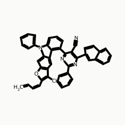 C=C/C=C\c1oc2cc3c(cc2c1C)c1c(-c2nc(-c4ccccc4)nc(-c4ccc5ccccc5c4)c2C#N)cccc1n3-c1ccccc1